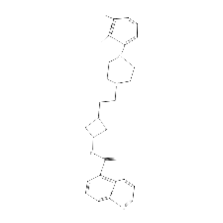 CCc1cccc(N2CCN(CCC3CC(NC(=O)c4cccc5ncccc45)C3)CC2)c1C